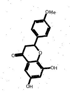 COc1ccc(C2CC(=O)c3cc(O)cc(O)c3O2)cc1